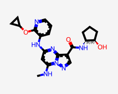 CNc1cc(Nc2cccnc2OC2CC2)nc2c(C(=O)N[C@@H]3CCC[C@H]3O)cnn12